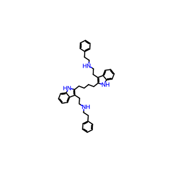 c1ccc(CCNCCc2c(CCCCc3[nH]c4ccccc4c3CCNCCc3ccccc3)[nH]c3ccccc23)cc1